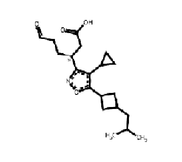 CC(C)CC1CC(c2onc([C@@H](CCC=O)CC(=O)O)c2C2CC2)C1